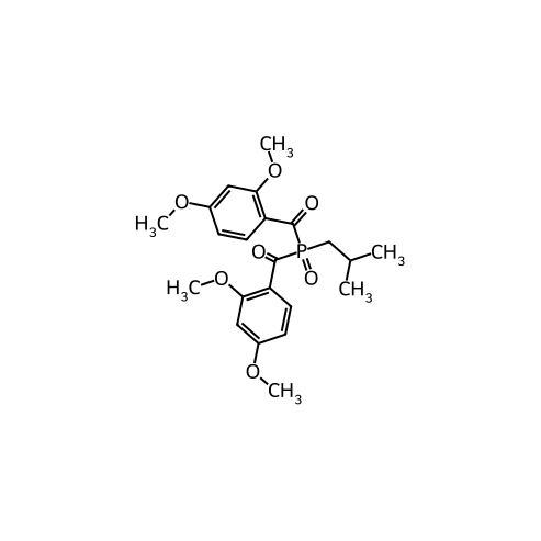 COc1ccc(C(=O)P(=O)(CC(C)C)C(=O)c2ccc(OC)cc2OC)c(OC)c1